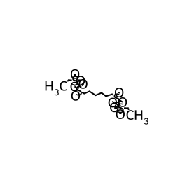 CCS(=O)(=O)OS(=O)(=O)CCCCCCS(=O)(=O)OS(=O)(=O)CC